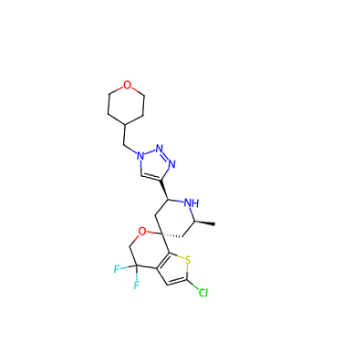 C[C@H]1C[C@@]2(C[C@@H](c3cn(CC4CCOCC4)nn3)N1)OCC(F)(F)c1cc(Cl)sc12